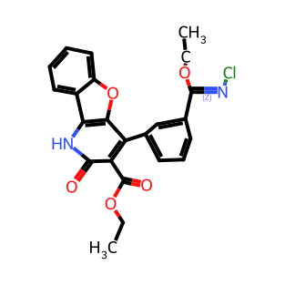 CCOC(=O)c1c(-c2cccc(/C(=N/Cl)OCC)c2)c2oc3ccccc3c2[nH]c1=O